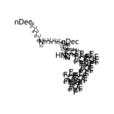 CCCCCCCCCCCCCCCCCCN(C)CCCCCCCCCCCCCCCCCC.Fc1c(F)c(F)c(B(c2c(F)c(F)c(F)c(F)c2F)c2c(F)c(F)c(F)c(F)c2F)c(F)c1F.Fc1c(F)c(F)c(B(c2c(F)c(F)c(F)c(F)c2F)c2c(F)c(F)c(F)c(F)c2F)c(F)c1F.c1ccc(-c2nc[nH]c2-c2ccccc2)cc1